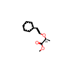 COC(=O)[C@H](C)OC=Cc1ccccc1